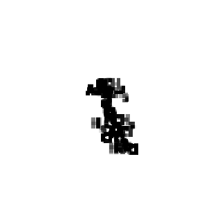 CC(=O)N(C[C@@H](C)COc1ccc(C(C)(C)c2cc(Cl)c(OC[C@H](O)CCl)c(Cl)c2)cc1)S(C)(=O)=O